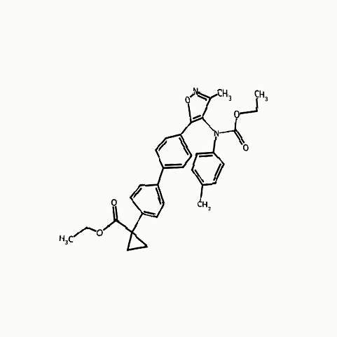 CCOC(=O)N(c1ccc(C)cc1)c1c(C)noc1-c1ccc(-c2ccc(C3(C(=O)OCC)CC3)cc2)cc1